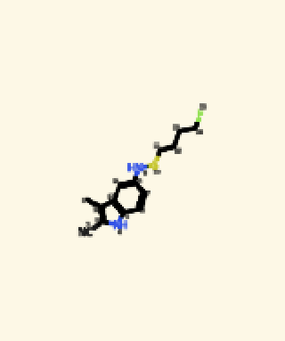 Cc1c(C#N)[nH]c2ccc(NSCCCCF)cc12